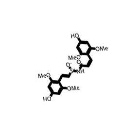 COc1cc(O)cc(OC)c1/C=C\C(=O)N[S+]([O-])/C=C/c1c(OC)cc(O)cc1OC